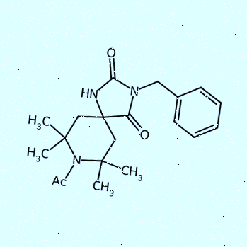 CC(=O)N1C(C)(C)CC2(CC1(C)C)NC(=O)N(Cc1ccccc1)C2=O